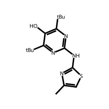 Cc1csc(Nc2nc(C(C)(C)C)c(O)c(C(C)(C)C)n2)n1